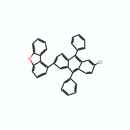 Clc1ccc2c(-c3ccccc3)c3cc(-c4cccc5oc6ccccc6c45)ccc3c(-c3ccccc3)c2c1